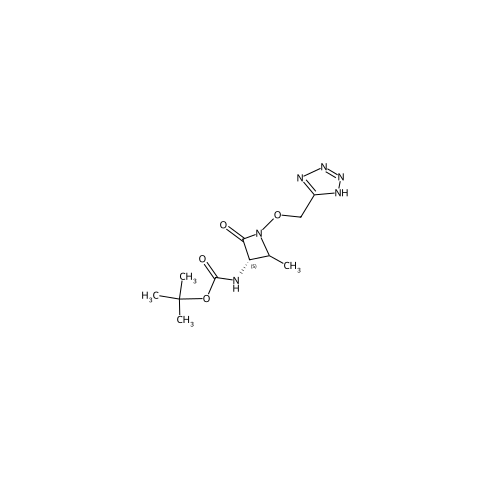 CC1[C@H](NC(=O)OC(C)(C)C)C(=O)N1OCc1nnn[nH]1